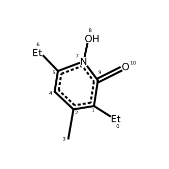 CCc1c(C)cc(CC)n(O)c1=O